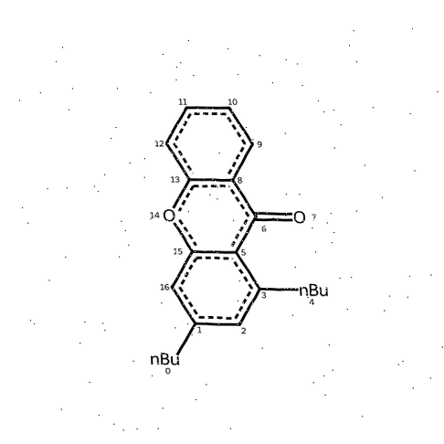 CCCCc1cc(CCCC)c2c(=O)c3ccccc3oc2c1